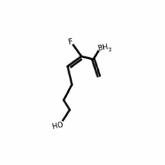 BC(=C)/C(F)=C\CCCO